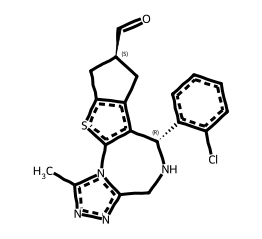 Cc1nnc2n1-c1sc3c(c1[C@H](c1ccccc1Cl)NC2)C[C@H](C=O)C3